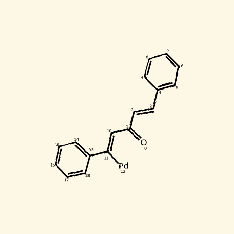 O=C(C=Cc1ccccc1)C=[C]([Pd])c1ccccc1